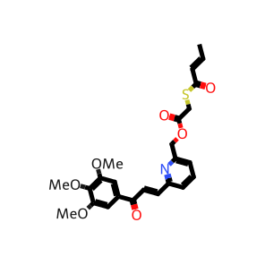 CC=CC(=O)SCC(=O)OCc1cccc(C=CC(=O)c2cc(OC)c(OC)c(OC)c2)n1